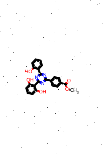 COC(=O)c1ccc(-c2nc(-c3ccccc3O)nc(-c3c(O)cccc3O)n2)cc1